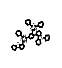 c1ccc(-c2nc(-c3ccccc3)nc(-c3cc(-c4nc(-c5ccccc5)nc(-c5cccc6c5oc5ccccc56)n4)ccc3-c3cccc4c3c3ccccc3n4-c3ccccc3)n2)cc1